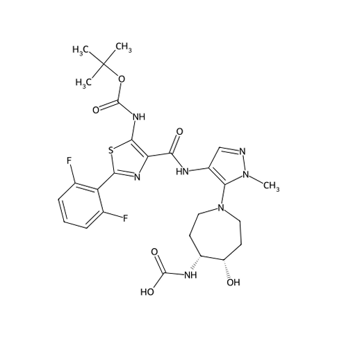 Cn1ncc(NC(=O)c2nc(-c3c(F)cccc3F)sc2NC(=O)OC(C)(C)C)c1N1CC[C@H](O)[C@H](NC(=O)O)CC1